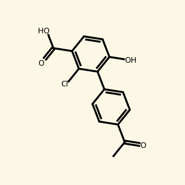 CC(=O)c1ccc(-c2c(O)ccc(C(=O)O)c2Cl)cc1